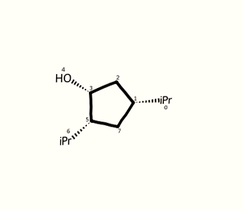 CC(C)[C@H]1C[C@@H](O)[C@@H](C(C)C)C1